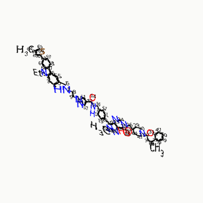 CCn1c2ccc(CNCCn3cc(C(=O)NCc4ccc(-c5c6ncn(CC7(O)CCN(C(=O)C[C@@H](C)c8ccccc8)CC7)c(=O)c6nn5C)cc4)cn3)cc2c2ccc(-c3cc(C)cs3)cc21